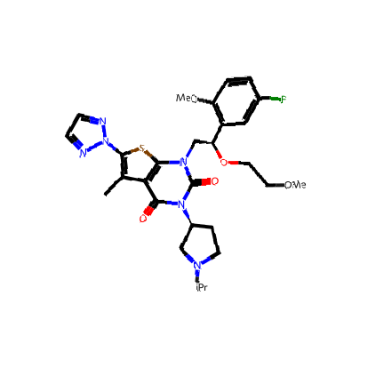 COCCO[C@@H](Cn1c(=O)n([C@H]2CCN(C(C)C)C2)c(=O)c2c(C)c(-n3nccn3)sc21)c1cc(F)ccc1OC